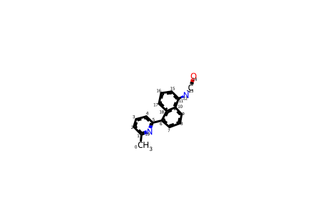 Cc1cccc(-c2cccc3c(N=C=O)cccc23)n1